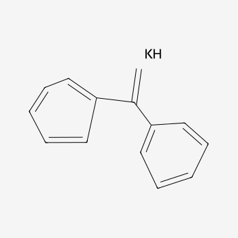 C=C(c1ccccc1)c1ccccc1.[KH]